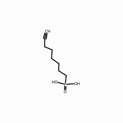 C#CCCCCCCP(=O)(O)O